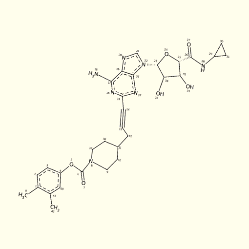 Cc1ccc(OC(=O)N2CCC(CC#Cc3nc(N)c4ncn([C@@H]5O[C@H](C(=O)NC6CC6)C(O)C5O)c4n3)CC2)cc1C